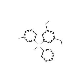 CCc1cc(CC)cc([Si](Cl)(c2ccccc2)c2cccc(C)c2)c1